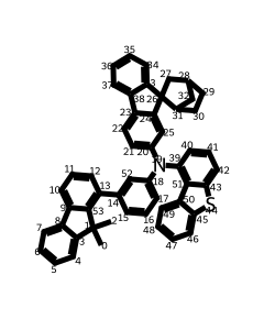 CC1(C)c2ccccc2-c2cccc(-c3cccc(N(c4ccc5c(c4)C4(CC6CCC4C6)c4ccccc4-5)c4cccc5sc6ccccc6c45)c3)c21